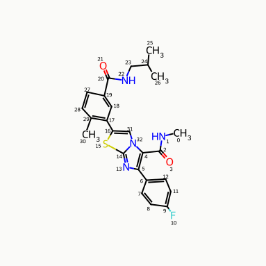 CNC(=O)c1c(-c2ccc(F)cc2)nc2sc(-c3cc(C(=O)NCC(C)C)ccc3C)cn12